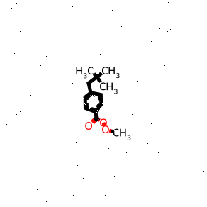 COOC(=O)c1ccc(CC(C)(C)C)cc1